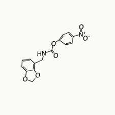 O=C(NCc1cccc2c1OCO2)Oc1ccc([N+](=O)[O-])cc1